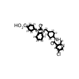 Cc1ncc(Cl)cc1C(=O)NC1CCC(Cn2c(=O)n(-c3ccc(C(=O)O)cc3)c3ccccc32)CC1